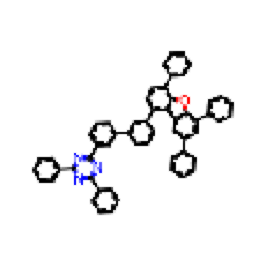 c1ccc(-c2cc(-c3ccccc3)c3oc4c(-c5ccccc5)ccc(-c5cccc(-c6cccc(-c7nc(-c8ccccc8)nc(-c8ccccc8)n7)c6)c5)c4c3c2)cc1